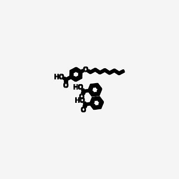 CCCCCCCCOc1ccc(C(=O)O)cc1.O=C(O)c1ccccc1.O=C(O)c1ccccc1